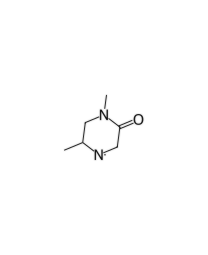 CC1CN(C)C(=O)C[N]1